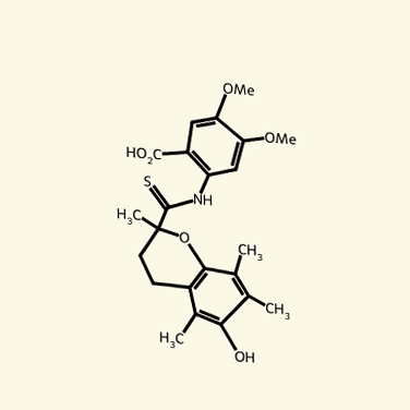 COc1cc(NC(=S)C2(C)CCc3c(C)c(O)c(C)c(C)c3O2)c(C(=O)O)cc1OC